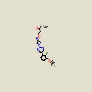 CNC(=O)CCON=C1CN(c2ncc(-c3cccc(CO[Si](C)(C)C(C)(C)C)c3F)cn2)C1